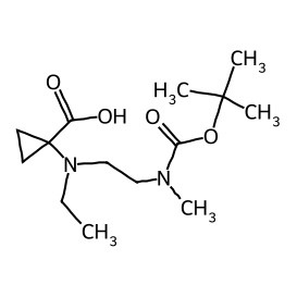 CCN(CCN(C)C(=O)OC(C)(C)C)C1(C(=O)O)CC1